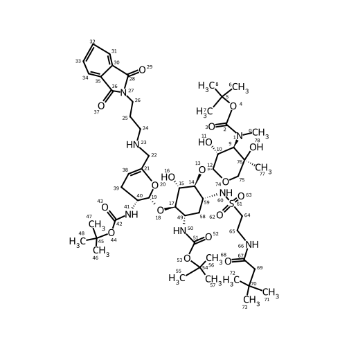 CN(C(=O)OC(C)(C)C)[C@@H]1[C@@H](O)[C@@H](O[C@@H]2[C@@H](O)[C@H](O[C@H]3OC(CNCCCN4C(=O)c5ccccc5C4=O)=CC[C@H]3NC(=O)OC(C)(C)C)[C@@H](NC(=O)OC(C)(C)C)C[C@H]2NS(=O)(=O)CCNC(=O)CC(C)(C)C)OC[C@]1(C)O